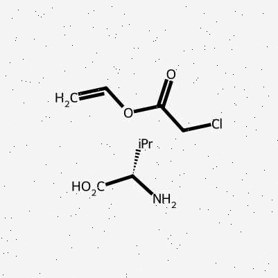 C=COC(=O)CCl.CC(C)[C@H](N)C(=O)O